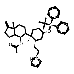 C=C1CCC2C(OC(C)=O)C([C@@]3(C)CC[C@H](O[Si](c4ccccc4)(c4ccccc4)C(C)(C)C)C[C@@H]3CCn3cccn3)CCC12C